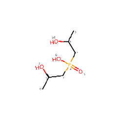 CC(O)CP(=O)(O)CC(C)O